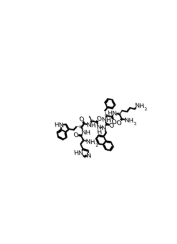 C[C@H](NC(=O)[C@@H](CCc1c[nH]c2ccccc12)NC(=O)[C@@H](N)Cc1cnc[nH]1)C(=O)NN(Cc1cccc2ccccc12)C(=O)N[C@H](Cc1ccccc1)C(=O)N[C@@H](CCCCN)C(N)=O